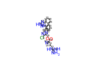 CCCCc1nc(Cl)c(COC(=O)[C@H](CCCNC(=N)N)N(C)C)n1Cc1ccc(-c2ccccc2-c2nn[nH]n2)cc1